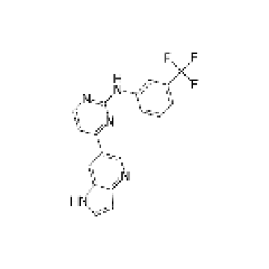 FC(F)(F)c1cccc(Nc2nccc(-c3cnc4cc[nH]c4c3)n2)c1